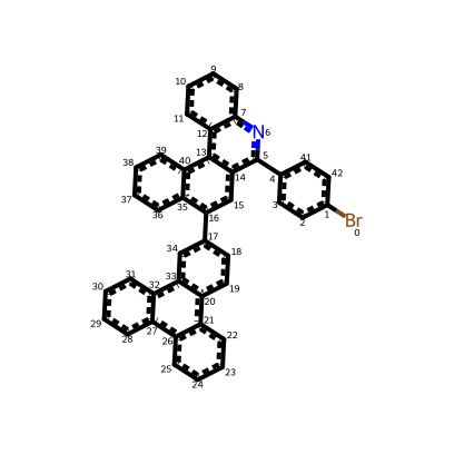 Brc1ccc(-c2nc3ccccc3c3c2cc(-c2ccc4c5ccccc5c5ccccc5c4c2)c2ccccc23)cc1